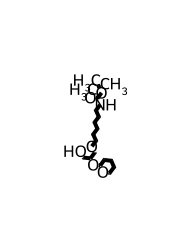 CC(C)(C)OC(=O)NCCCCCCOCC(CO)OC1CCCCO1